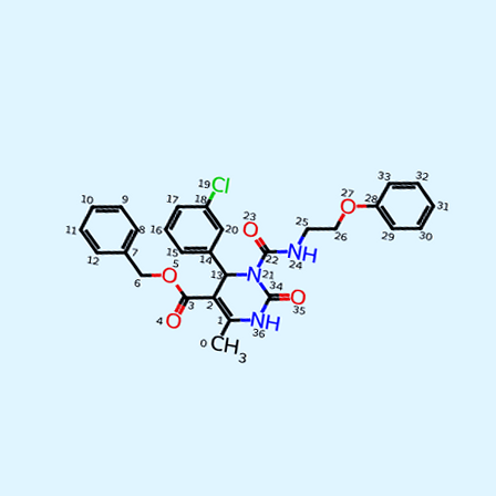 CC1=C(C(=O)OCc2ccccc2)C(c2cccc(Cl)c2)N(C(=O)NCCOc2ccccc2)C(=O)N1